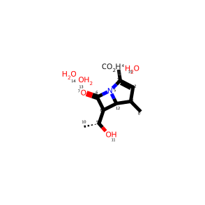 CC1C=C(C(=O)O)N2C(=O)C([C@@H](C)O)C12.O.O.O